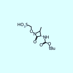 CC1[C@H](NC(=O)OC(C)(C)C)C(=O)N1OCS(=O)(=O)O